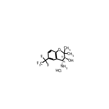 CC1(C)Oc2ccc(C(F)(F)C(F)(F)F)cc2[C@@H](N)[C@@H]1O.Cl